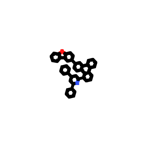 c1ccc(-c2cc(-c3ccccc3)nc(-c3cccc4c5ccccc5c5cc(-c6ccc7oc8ccccc8c7c6)ccc5c34)c2)cc1